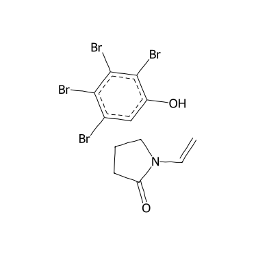 C=CN1CCCC1=O.Oc1cc(Br)c(Br)c(Br)c1Br